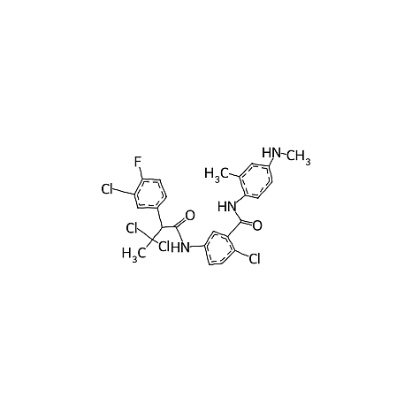 CNc1ccc(NC(=O)c2cc(NC(=O)C(c3ccc(F)c(Cl)c3)C(C)(Cl)Cl)ccc2Cl)c(C)c1